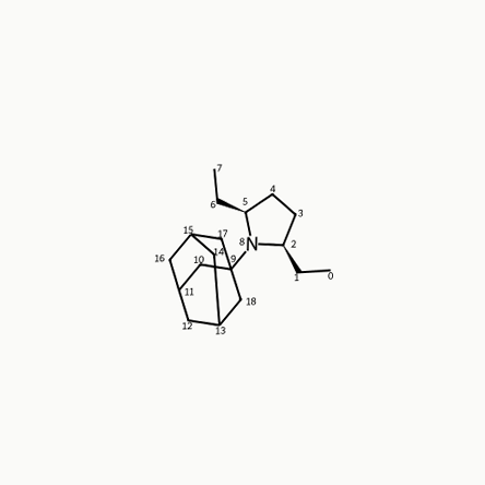 CC[C@@H]1CC[C@H](CC)N1C12CC3CC(CC(C3)C1)C2